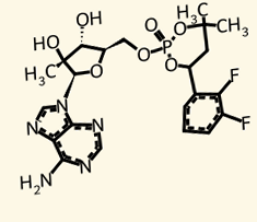 CC1(C)CC(c2cccc(F)c2F)OP(=O)(OC[C@H]2O[C@@H](n3cnc4c(N)ncnc43)[C@](C)(O)[C@@H]2O)O1